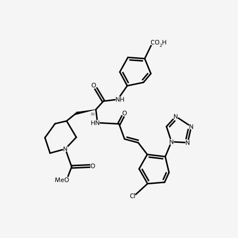 COC(=O)N1CCCC(C[C@H](NC(=O)C=Cc2cc(Cl)ccc2-n2cnnn2)C(=O)Nc2ccc(C(=O)O)cc2)C1